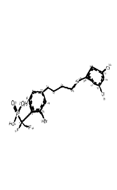 O=P(O)(O)C(F)(F)c1ccc(CCCCSc2cc(Cl)cc(Cl)c2)cc1Br